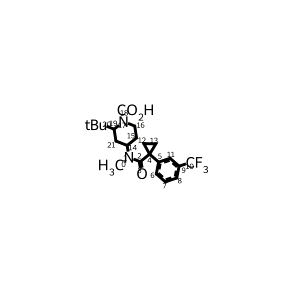 CN(C(=O)C1(c2cccc(C(F)(F)F)c2)CC1)C1CCN(C(=O)O)C(C(C)(C)C)C1